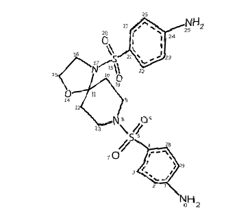 Nc1ccc(S(=O)(=O)N2CCC3(CC2)OCCN3S(=O)(=O)c2ccc(N)cc2)cc1